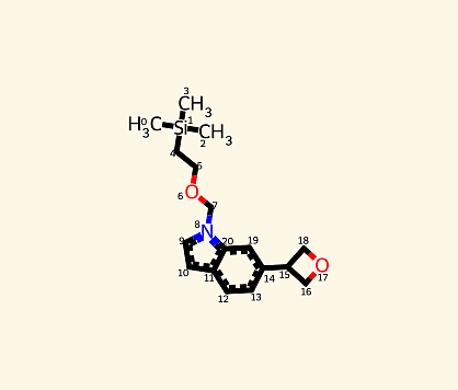 C[Si](C)(C)CCOCn1ccc2ccc(C3COC3)cc21